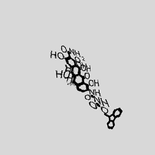 C[C@H]1c2ccc(NC(=O)NC(=O)OCC3c4ccccc4-c4ccccc43)c(O)c2C(=O)C2=C(O)[C@]3(O)C(=O)C(C(N)=O)=C(O)C[C@@H]3[C@@H](O)[C@@H]21